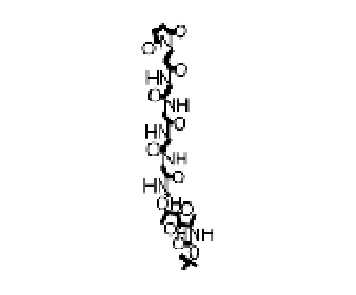 CC(C)(C)OC(=O)N[C@H]1CO[C@H]2[C@@H]1OC[C@H]2OCNC(=O)CNC(=O)CNC(=O)CNC(=O)CNC(=O)CCN1C(=O)C=CC1=O